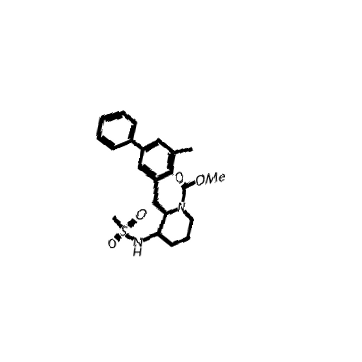 COC(=O)N1CCCC(NS(C)(=O)=O)C1Cc1cc(C)cc(-c2ccccc2)c1